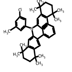 Cc1cc(Cl)cc(N(c2ccc3c(c2)C(C)(C)CCC3(C)C)c2cc3c(cc2-c2ccccc2)C(C)(C)CCC3(C)C)c1